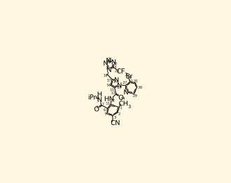 Cc1cc(C#N)cc(C(=O)NC(C)C)c1NC(=O)c1cc(Cn2nnnc2C(F)(F)F)nn1-c1ncccc1Br